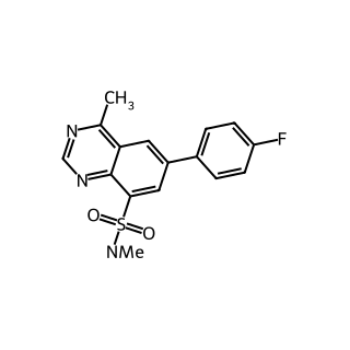 CNS(=O)(=O)c1cc(-c2ccc(F)cc2)cc2c(C)ncnc12